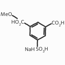 COC.O=C(O)c1cc(C(=O)O)cc(S(=O)(=O)O)c1.[NaH]